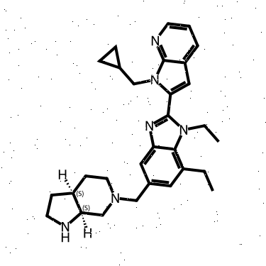 CCc1cc(CN2CC[C@@H]3CCN[C@@H]3C2)cc2nc(-c3cc4cccnc4n3CC3CC3)n(CC)c12